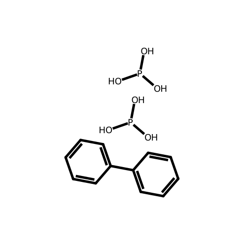 OP(O)O.OP(O)O.c1ccc(-c2ccccc2)cc1